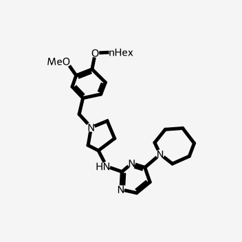 CCCCCCOc1ccc(CN2CCC(Nc3nccc(N4CCCCCC4)n3)C2)cc1OC